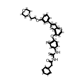 O=C(Cc1ccccc1)NC(=S)Nc1ccc(Oc2ccnc3cc(-c4cccc(OCCN5CCOCC5)c4)sc23)c(F)c1